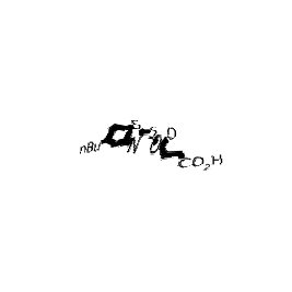 CCCCc1ccc2sc(SOC(=O)CCC(=O)O)nc2c1